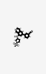 CS(=O)(=O)N1CC[C@H](Nc2cc(-c3cccc(C#N)c3)cc3ccncc23)C1